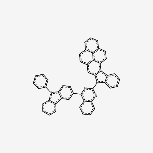 c1ccc(-n2c3ccccc3c3cc(-c4nc(-n5c6ccccc6c6c7ccc8cccc9ccc(cc65)c7c98)nc5ccccc45)ccc32)cc1